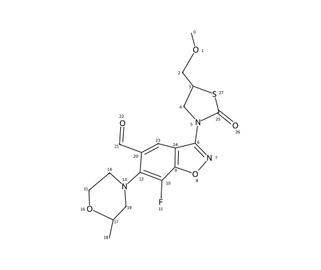 COCC1CN(c2noc3c(F)c(N4CCOC(C)C4)c(C=O)cc23)C(=O)S1